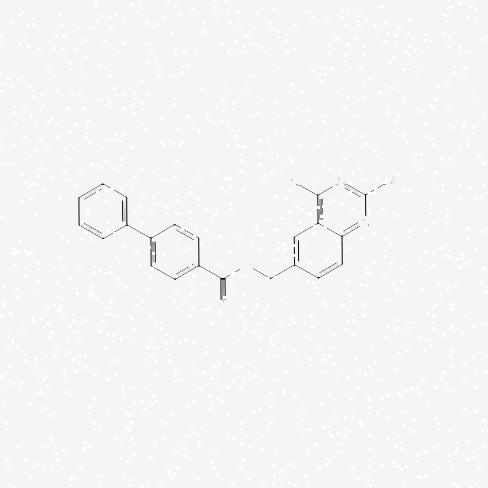 Nc1nc(N)c2cc(COC(=O)c3ccc(-c4ccccc4)cc3)ccc2n1